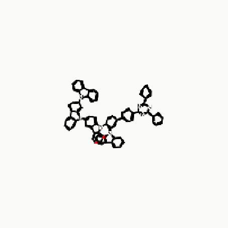 c1ccc(-c2nc(-c3ccccc3)nc(-c3ccc(-c4ccc(-n5c6ccccc6c6cc(-n7c8ccccc8c8ccc(-n9c%10ccccc%10c%10ccccc%109)cc87)ccc65)c(-n5c6ccccc6c6ccccc65)c4)cc3)n2)cc1